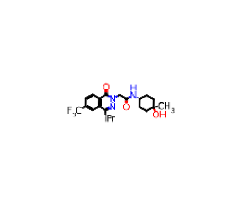 CC(C)c1nn(CC(=O)N[C@H]2CC[C@@](C)(O)CC2)c(=O)c2ccc(C(F)(F)F)cc12